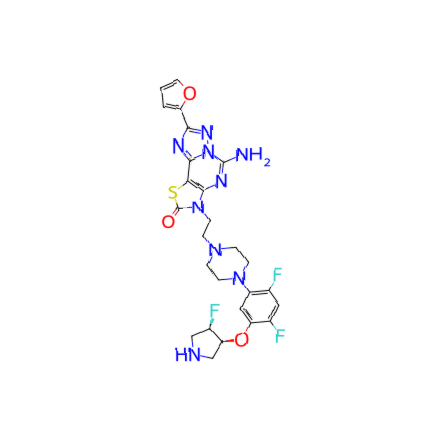 Nc1nc2c(sc(=O)n2CCN2CCN(c3cc(O[C@H]4CNC[C@H]4F)c(F)cc3F)CC2)c2nc(-c3ccco3)nn12